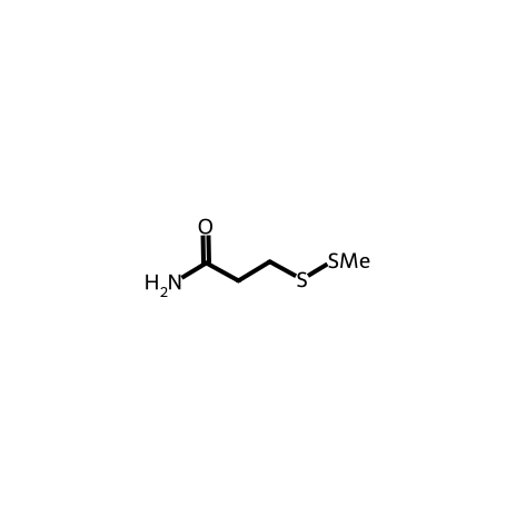 CSSCCC(N)=O